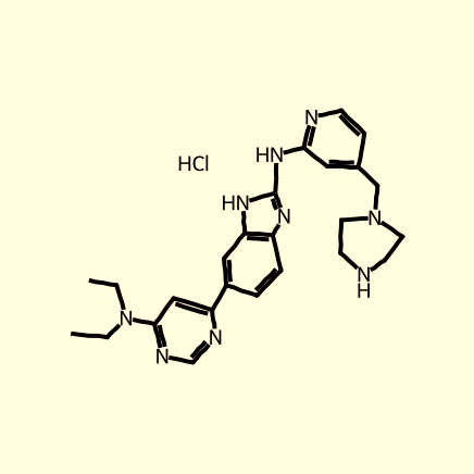 CCN(CC)c1cc(-c2ccc3nc(Nc4cc(CN5CCNCC5)ccn4)[nH]c3c2)ncn1.Cl